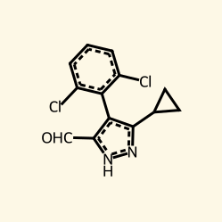 O=Cc1[nH]nc(C2CC2)c1-c1c(Cl)cccc1Cl